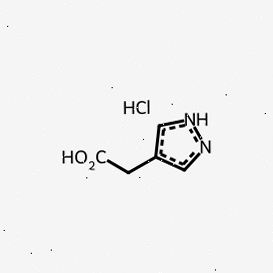 Cl.O=C(O)Cc1cn[nH]c1